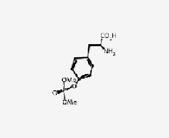 COP(=O)(OC)Oc1ccc(C[C@H](N)C(=O)O)cc1